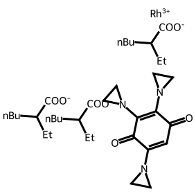 CCCCC(CC)C(=O)[O-].CCCCC(CC)C(=O)[O-].CCCCC(CC)C(=O)[O-].O=C1C=C(N2CC2)C(=O)C(N2CC2)=C1N1CC1.[Rh+3]